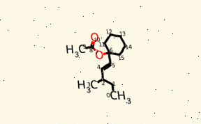 CCC(C)C=CC1(OC(C)=O)CCCCC1